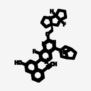 C#Cc1cccc2cc(O)cc(-c3ncc4c(N5CC6CCC(C5)N6)nc(OC[C@]56CCCN5[C@@H]5CCC[C@]5(F)C6)nc4c3F)c12